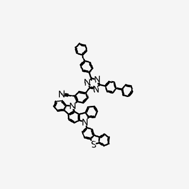 N#Cc1cc(-c2nc(-c3ccc(-c4ccccc4)cc3)nc(-c3ccc(-c4ccccc4)cc3)n2)ccc1-n1c2ccccc2c2ccc3c(c4ccccc4n3-c3ccc4sc5ccccc5c4c3)c21